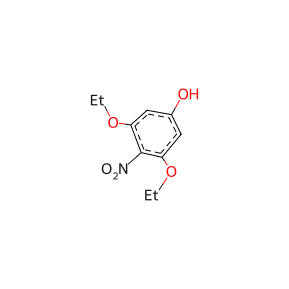 CCOc1cc(O)cc(OCC)c1[N+](=O)[O-]